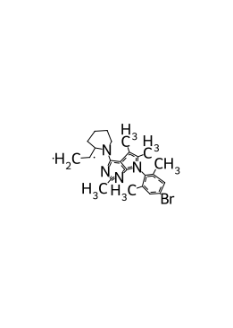 [CH2][CH]C1CCCCN1c1nc(C)nc2c1c(C)c(C)n2-c1c(C)cc(Br)cc1C